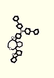 C=C1CCCCC/C(c2cccc3c2oc2ccccc23)=C2/CCCC/C2=C/1c1ccc(N(c2ccc(-c3ccccc3)cc2)c2ccc(-c3ccccc3)cc2)cc1